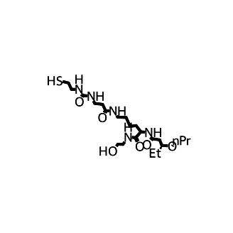 CCCO[C@@H](CC)CC(=O)NC(CCCCNC(=O)CCNC(=O)NCCS)C(=O)NCCO